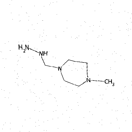 CN1CCN(CNN)CC1